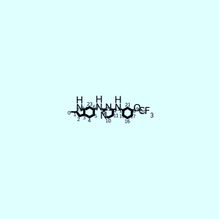 Cc1cc2ccc(Nc3nccc(Nc4cccc(OC(F)(F)F)c4)n3)cc2[nH]1